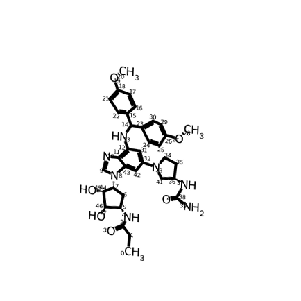 CCC(=O)N[C@H]1C[C@@H](n2cnc3c(NC(c4ccc(OC)cc4)c4ccc(OC)cc4)cc(N4CC[C@@H](NC(N)=O)C4)cc32)[C@H](O)[C@@H]1O